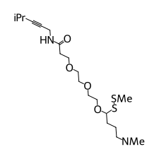 CNCCCC(OCCOCCOCCC(=O)NCC#CC(C)C)SSC